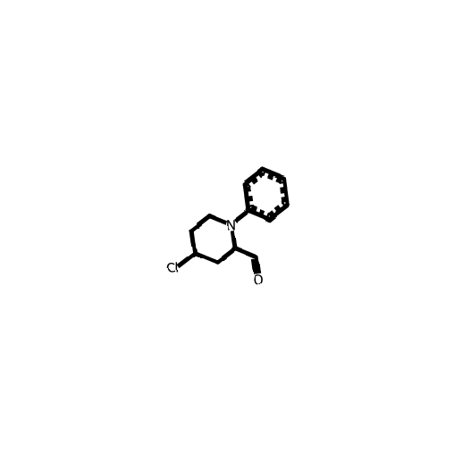 O=CC1CC(Cl)CCN1c1ccccc1